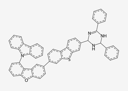 c1ccc(C2=NC(c3ccc4c(c3)sc3cc(-c5ccc6oc7cccc(-n8c9ccccc9c9ccccc98)c7c6c5)ccc34)NC(c3ccccc3)N2)cc1